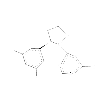 Fc1cc(F)cc([C@H]2CCON2c2ncnc(Cl)n2)c1